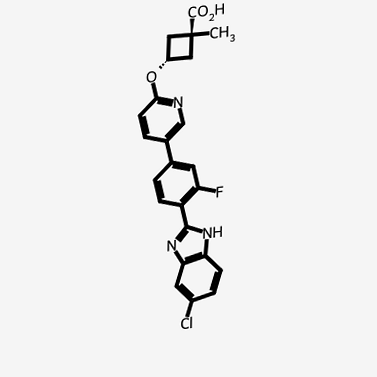 C[C@]1(C(=O)O)C[C@H](Oc2ccc(-c3ccc(-c4nc5cc(Cl)ccc5[nH]4)c(F)c3)cn2)C1